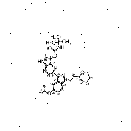 CC(C)(C)NC(=O)Oc1c[nH]c2ncc(-c3nn(CCC4OCCCO4)c4ccc(OC(F)F)cc34)nc12